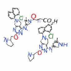 C[C@@H]1C[C@@H](N(C)c2nc(OCC3CCCN3C)nc3c2CCN(c2cccc4cccc(Cl)c24)C3)CN1.C[C@@H]1C[C@@H](N(C)c2nc(OCC3CCCN3C)nc3c2CCN(c2cccc4cccc(Cl)c24)C3)CN1C(=O)/C=C/C(=O)O